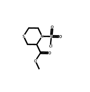 COC(=O)C1CSCCN1S(=O)(=O)Cl